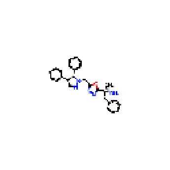 C[C@@](N)(Cc1ccccc1)c1nnc(CN2N=CC(c3ccccc3)C2c2ccccc2)o1